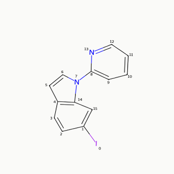 Ic1ccc2ccn(-c3ccccn3)c2c1